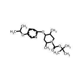 CC(C)Oc1ccc(OC2CC(C)N(C(=O)OC(C)(C)C)CC2C)nc1